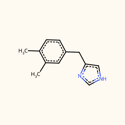 Cc1ccc(Cc2c[nH]cn2)cc1C